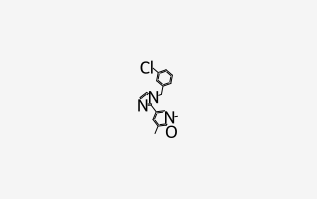 Cc1cc(-c2nccn2Cc2cccc(Cl)c2)cn(C)c1=O